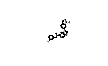 CN(Cc1cccc(Br)c1)c1ncc2ncn(-c3ccc4cn[nH]c4c3)c2n1